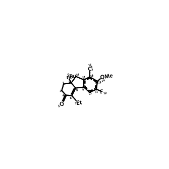 CCCCC12CCC(=O)C(CC)=C1c1cc(F)c(OC)c(Cl)c1C2